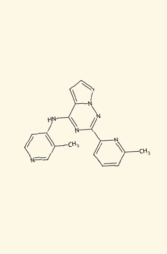 Cc1cccc(-c2nc(Nc3ccncc3C)c3cccn3n2)n1